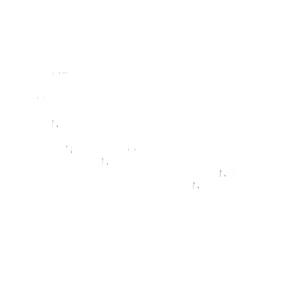 COc1cc(CC(=O)N2CCCN(C(=O)N(C)CC(C)C(=O)O)CC2)ccc1NC(=O)Nc1ccccc1C